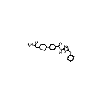 NC(=O)CC1CCC(c2ccc(C(=O)Nc3nnc(Cc4ccccc4)s3)cc2)CC1